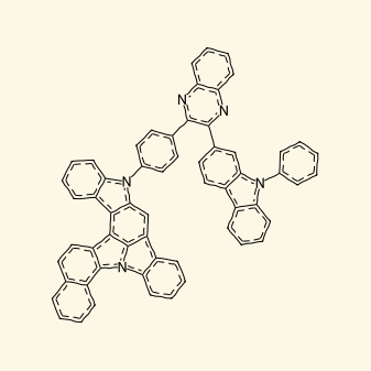 c1ccc(-n2c3ccccc3c3ccc(-c4nc5ccccc5nc4-c4ccc(-n5c6ccccc6c6c7c8ccc9ccccc9c8n8c9ccccc9c(cc65)c78)cc4)cc32)cc1